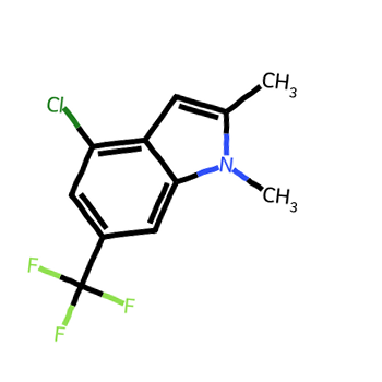 Cc1cc2c(Cl)cc(C(F)(F)F)cc2n1C